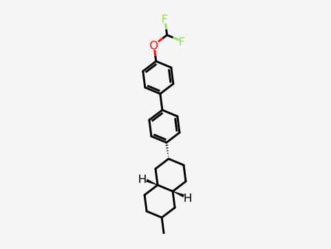 CC1CC[C@@H]2C[C@H](c3ccc(-c4ccc(OC(F)F)cc4)cc3)CC[C@@H]2C1